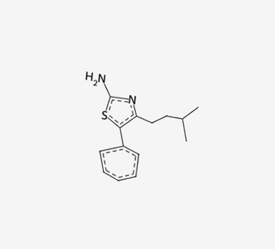 CC(C)CCc1nc(N)sc1-c1ccccc1